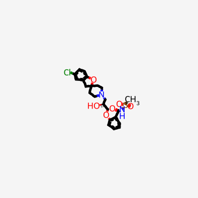 CS(=O)(=O)NC(=O)c1ccccc1OC[C@@H](O)CN1CCC2(CC1)Cc1cc(Cl)ccc1O2